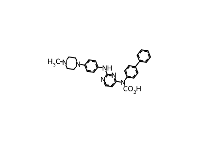 CN1CCN(c2ccc(Nc3nccc(N(C(=O)O)c4ccc(-c5ccccc5)cc4)n3)cc2)CC1